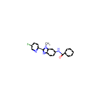 Cn1c(-c2ccc(F)cn2)nc2ccc(NC(=O)c3ccccc3)cc21